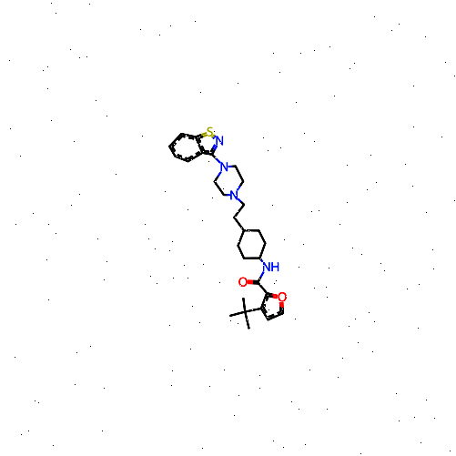 CC(C)(C)c1ccoc1C(=O)NC1CCC(CCN2CCN(c3nsc4ccccc34)CC2)CC1